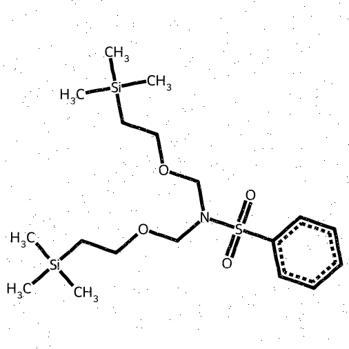 C[Si](C)(C)CCOCN(COCC[Si](C)(C)C)S(=O)(=O)c1ccccc1